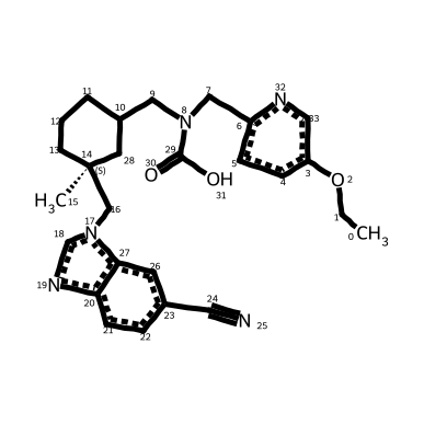 CCOc1ccc(CN(CC2CCC[C@](C)(Cn3cnc4ccc(C#N)cc43)C2)C(=O)O)nc1